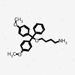 COc1ccc(C(OCCCCN)(c2ccccc2)c2ccc(OC)cc2)cc1